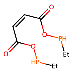 CCPOC(=O)/C=C\C(=O)OPCC